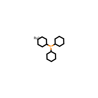 C1CCC(P(C2CCCCC2)C2CCCCC2)CC1.[Ru+2]